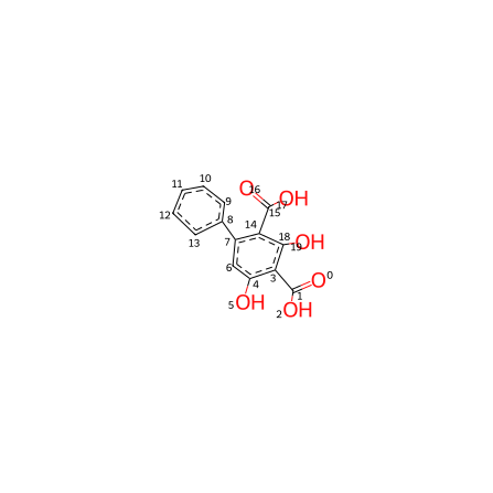 O=C(O)c1c(O)cc(-c2ccccc2)c(C(=O)O)c1O